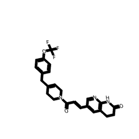 O=C1CCc2cc(C=CC(=O)N3CC=C(Cc4ccc(OC(F)(F)F)cc4)CC3)cnc2N1